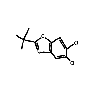 CC(C)(C)c1nc2cc(Cl)c(Cl)cc2o1